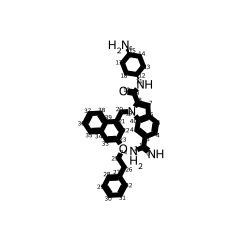 N=C(N)c1ccc2cc(C(=O)N[C@H]3CC[C@H](N)CC3)n(Cc3cc(OCCc4ccccc4)cc4ccccc34)c2c1